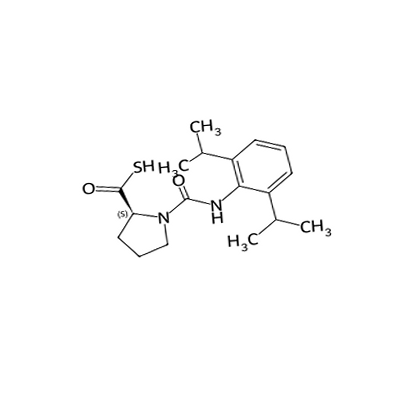 CC(C)c1cccc(C(C)C)c1NC(=O)N1CCC[C@H]1C(=O)S